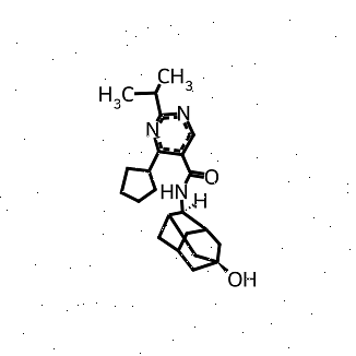 CC(C)c1ncc(C(=O)N[C@H]2C3CC4CC2C[C@@](O)(C4)C3)c(C2CCCC2)n1